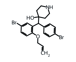 C=CCOc1ccc(Br)cc1C(c1ccc(Br)cc1)C1(O)CCNCC1